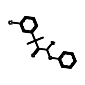 CC(C)(C(=O)C(Br)Oc1ccccc1)c1cccc(Cl)c1